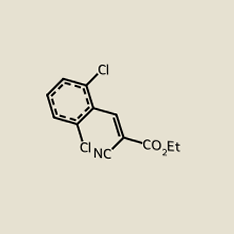 CCOC(=O)C(C#N)=Cc1c(Cl)cccc1Cl